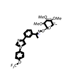 CO[C@@H]1[C@@H](OC)[C@H](C)O[C@@H](O/N=C(\C)c2cccc(-c3cn(-c4ccc(OC(F)(F)F)cc4)cn3)c2)[C@@H]1OC